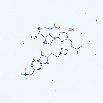 CCN1CNC(N)C2NCN([C@@H]3O[C@H](CN(C(C)C)[C@H]4C[C@H](CCC5Nc6ccc(CC(F)(F)F)cc6N5)C4)[C@@H](O)[C@H]3O)C21